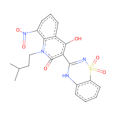 CC(C)CCn1c(=O)c(C2=NS(=O)(=O)c3ccccc3N2)c(O)c2cccc([N+](=O)[O-])c21